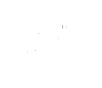 C[C@H]1C[C@@]2(F)CSC(N)=N[C@@]2(c2ccccccccc2)CO1